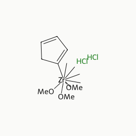 C[O][Zr]([CH3])([CH3])([CH3])([CH3])([CH3])([O]C)([O]C)[C]1=CC=CC1.Cl.Cl